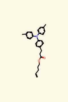 C=CCCCOC(=O)CCc1ccc(N(c2ccc(C)cc2)c2ccc(C)cc2)cc1